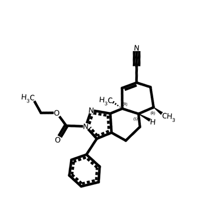 CCOC(=O)n1nc2c(c1-c1ccccc1)CC[C@H]1[C@H](C)CC(C#N)=C[C@]21C